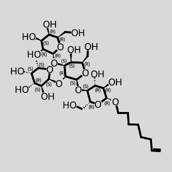 C=CCCCCCCO[C@@H]1O[C@H](CO)[C@@H](O[C@@H]2O[C@H](CO)[C@H](O)[C@H](O[C@H]3O[C@H](CO)[C@H](O)[C@H](O)[C@H]3O)[C@H]2O[C@@H]2O[C@@H](C)[C@@H](O)[C@@H](O)[C@@H]2O)[C@H](O)[C@H]1O